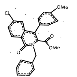 COC(=O)c1c(-c2ccc(OC)cc2)c2cc(Cl)ccc2c(=O)n1Cc1ccccc1